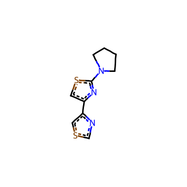 c1nc(-c2csc(N3CCCC3)n2)cs1